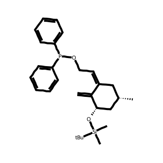 C=C1/C(=C\COP(c2ccccc2)c2ccccc2)C[C@H](C)C[C@@H]1O[Si](C)(C)C(C)(C)C